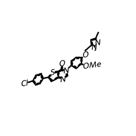 COc1cc(-n2cnc3cc(-c4ccc(Cl)cc4)sc3c2=O)ccc1OCc1cc(C)nn1C